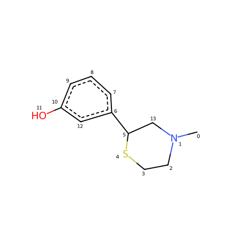 CN1CCSC(c2cccc(O)c2)C1